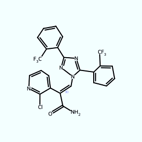 NC(=O)/C(=C/n1nc(-c2ccccc2C(F)(F)F)nc1-c1ccccc1C(F)(F)F)c1cccnc1Cl